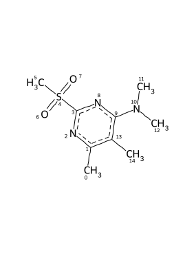 Cc1nc(S(C)(=O)=O)nc(N(C)C)c1C